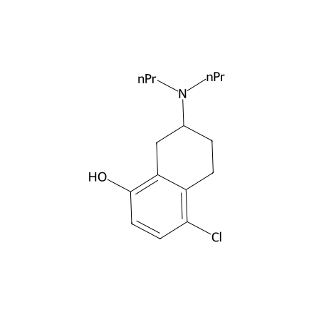 CCCN(CCC)C1CCc2c(Cl)ccc(O)c2C1